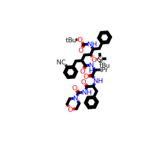 CC(C)C(NC(=O)C(Cc1ccccc1C#N)CC(O[Si](C)(C)C(C)(C)C)C(Cc1ccccc1)NC(=O)OC(C)(C)C)C(=O)NC(Cc1ccccc1)C(=O)NC(=O)N1CCOCC1